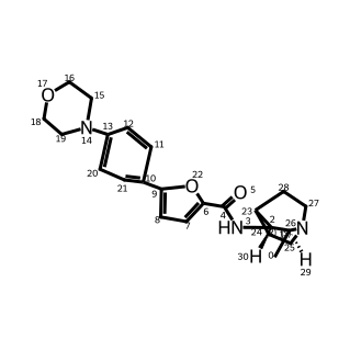 C[C@H]1[C@H](NC(=O)c2ccc(-c3ccc(N4CCOCC4)cc3)o2)C2CCN1CC2